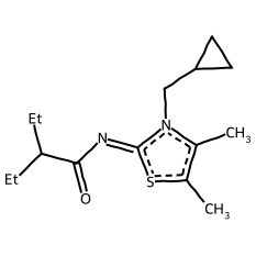 CCC(CC)C(=O)/N=c1\sc(C)c(C)n1CC1CC1